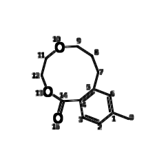 Cc1ccc2c(c1)CCCOCCOC2=O